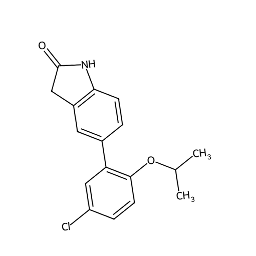 CC(C)Oc1ccc(Cl)cc1-c1ccc2c(c1)CC(=O)N2